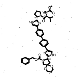 COC(=O)N[C@H](C(=O)N1CCC[C@H]1c1nc(-c2ccc(-c3ccc(-c4c[nH]c([C@@H]5CC6(CN5C(=O)OCc5ccccc5)OCCCO6)n4)cc3)cc2)c[nH]1)C(C)C